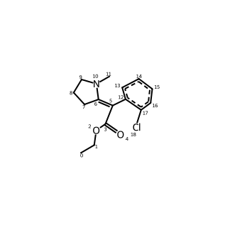 CCOC(=O)C(=C1CCCN1C)c1ccccc1Cl